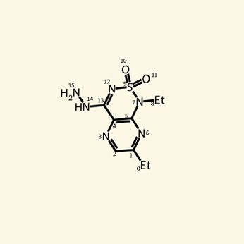 CCc1cnc2c(n1)N(CC)S(=O)(=O)N=C2NN